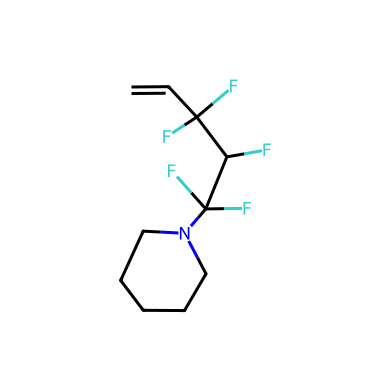 C=CC(F)(F)C(F)C(F)(F)N1CCCCC1